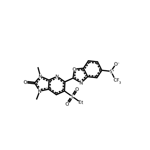 CCS(=O)(=O)c1cc2c(nc1-c1nc3cc([S+]([O-])C(F)(F)F)ccc3o1)n(C)c(=O)n2C